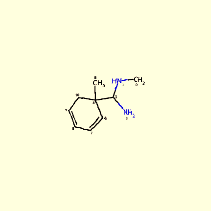 CNC(N)C1(C)C=CC=CC1